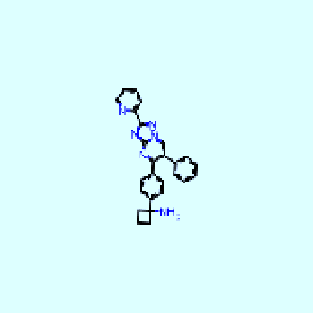 NC1(c2ccc(-c3nc4nc(-c5ccccn5)nn4cc3-c3ccccc3)cc2)CCC1